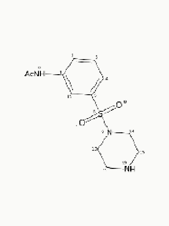 CC(=O)Nc1cccc(S(=O)(=O)N2CCNCC2)c1